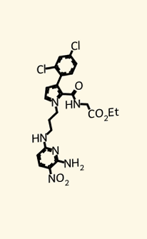 CCOC(=O)CNC(=O)c1c(-c2ccc(Cl)cc2Cl)ccn1CCCNc1ccc([N+](=O)[O-])c(N)n1